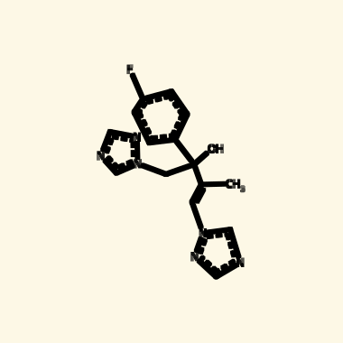 CC(=Cn1cncn1)C(O)(Cn1cncn1)c1ccc(F)cc1